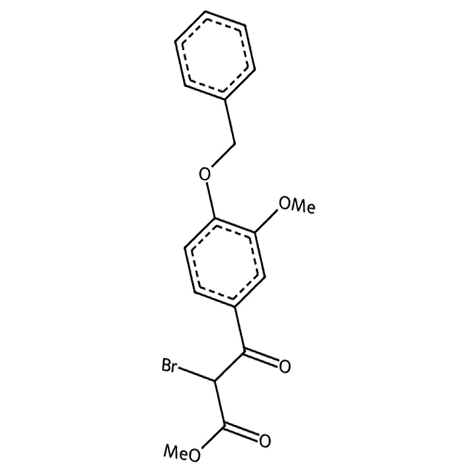 COC(=O)C(Br)C(=O)c1ccc(OCc2ccccc2)c(OC)c1